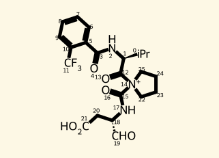 CC(C)[C@H](NC(=O)c1ccccc1C(F)(F)F)C(=O)[N+]1(C(=O)N[C@H](C=O)CC(=O)O)CCCC1